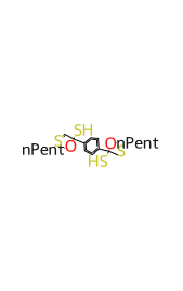 CCCCCOC(S)(C=S)c1ccc(C(S)(C=S)OCCCCC)cc1